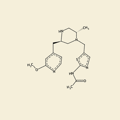 COc1cc(C[C@@H]2CN(Cc3cnc(NC(C)=O)s3)[C@@H](C)CN2)ccn1